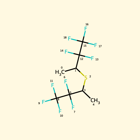 CC(SC(C)C(F)(F)C(F)(F)F)C(F)(F)C(F)(F)F